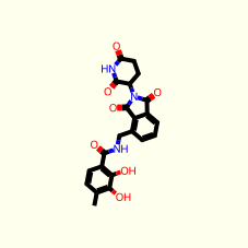 Cc1ccc(C(=O)NCc2cccc3c2C(=O)N(C2CCC(=O)NC2=O)C3=O)c(O)c1O